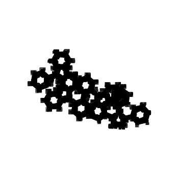 c1ccc(-c2nnc(-c3cccc4c3c3ccccc3n4-c3ccccc3-c3ccccc3-n3c4ccccc4c4c3ccc3c5ccccc5n(-c5ccccc5)c34)n2-c2ccccc2)cc1